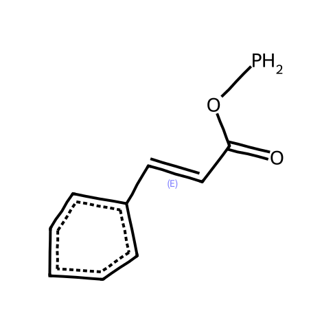 O=C(/C=C/c1ccccc1)OP